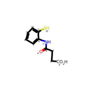 O=C(O)CCC(=O)Nc1ccccc1S